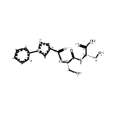 O=C(N[C@@H](CO)C(=O)N[C@@H](CO)C(=O)O)c1cnn(-c2ccccc2)c1